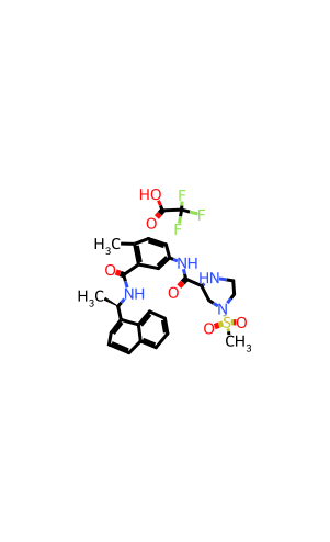 Cc1ccc(NC(=O)C2CN(S(C)(=O)=O)CCN2)cc1C(=O)N[C@H](C)c1cccc2ccccc12.O=C(O)C(F)(F)F